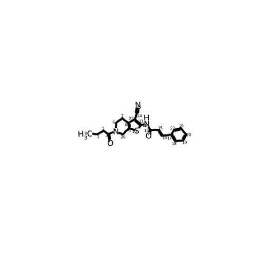 CCCC(=O)N1CCc2c(sc(NC(=O)/C=C/c3ccccc3)c2C#N)C1